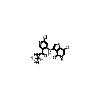 [2H]C([2H])([2H])NC(=O)c1cnc(Cl)cc1Nc1csc2c(Cl)cn(C)c(=O)c12